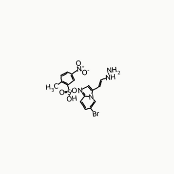 Cc1ccc([N+](=O)[O-])cc1S(=O)(=O)O.NNC=Cc1cnc2ccc(Br)cn12